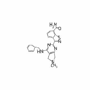 CN1Cc2nc(-c3nsc4c(C(N)=O)cccc34)nc(NCc3ccccc3)c2C1